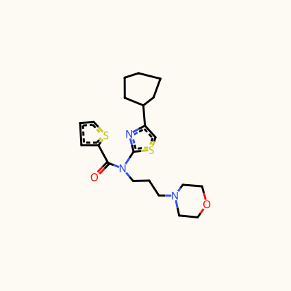 O=C(c1cccs1)N(CCCN1CCOCC1)c1nc(C2CCCCC2)cs1